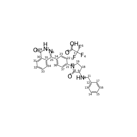 O=C(O)C(F)(F)F.O=C1C(NCc2ccccc2)CCN1c1ccc(-c2n[nH]c(=O)c3ccccc23)cc1